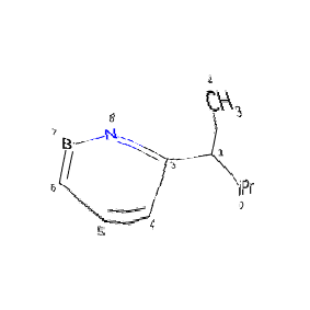 CC(C)C(C)c1cccbn1